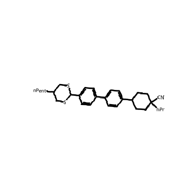 CCCCCC1CSC(c2ccc(-c3ccc(C4CCC(C#N)(CCC)CC4)cc3)cc2)SC1